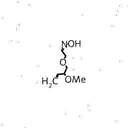 C=CC(COC/C=N\O)OC